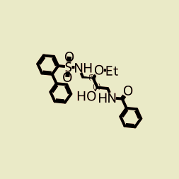 CCO[C@H](CNS(=O)(=O)c1ccccc1-c1ccccc1)[C@@H](O)CNC(=O)c1ccccc1